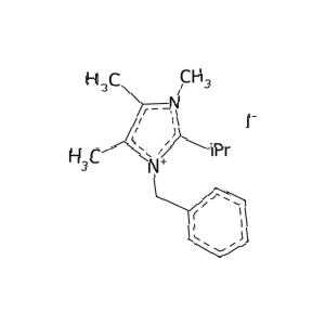 Cc1c(C)[n+](Cc2ccccc2)c(C(C)C)n1C.[I-]